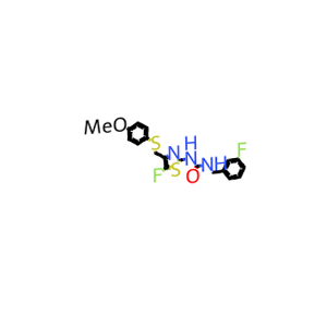 COc1ccc(SCc2nc(NC(=O)NCc3cccc(F)c3)sc2F)cc1